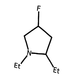 CCC1CC(F)CN1CC